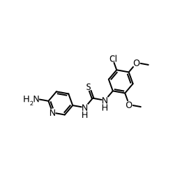 COc1cc(OC)c(NC(=S)Nc2ccc(N)nc2)cc1Cl